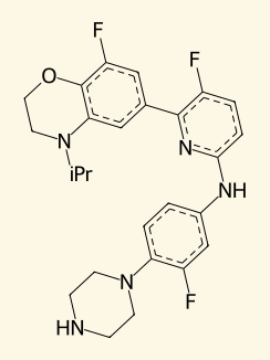 CC(C)N1CCOc2c(F)cc(-c3nc(Nc4ccc(N5CCNCC5)c(F)c4)ccc3F)cc21